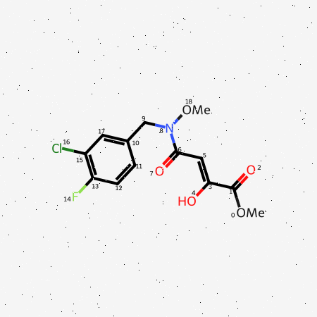 COC(=O)C(O)=CC(=O)N(Cc1ccc(F)c(Cl)c1)OC